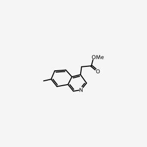 COC(=O)Cc1cncc2cc(C)ccc12